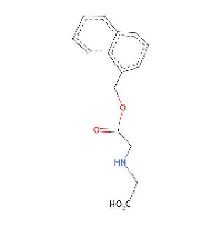 O=C(O)CNCC(=O)OCc1cccc2ccccc12